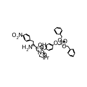 CC(C)CN(C[C@@H](O)[C@@H](N)Cc1ccc([N+](=O)[O-])cc1)S(=O)(=O)c1ccc(OCP(=O)(OCc2ccccc2)OCc2ccccc2)cc1